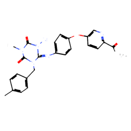 CCn1c(=O)n(N)/c(=N\c2ccc(Oc3ccc(C(=O)OC)nc3)cc2)n(Cc2ccc(C)cc2)c1=O